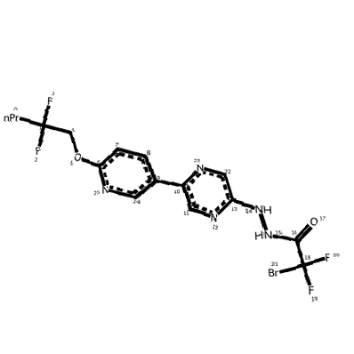 CCCC(F)(F)COc1ccc(-c2cnc(NNC(=O)C(F)(F)Br)cn2)cn1